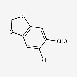 O=Cc1cc2c(cc1Cl)OCO2